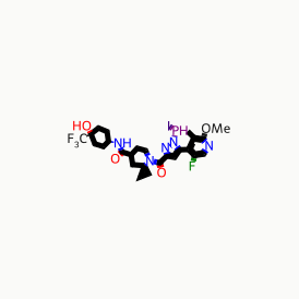 COc1ncc(F)c(-c2cc(C(=O)N3CCC(C(=O)N[C@H]4CC[C@@](O)(C(F)(F)F)CC4)CC34CC4)nn2PI)c1C